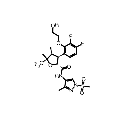 Cc1nn(S(C)(=O)=O)cc1NC(=O)[C@@H]1O[C@@](C)(C(F)(F)F)[C@@H](C)[C@H]1c1ccc(F)c(F)c1OCCO